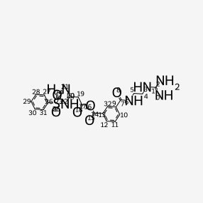 N=C(N)NCCNC(=O)c1cccc(C(=O)OC(=O)C[C@@H](N)NS(=O)(=O)c2ccccc2)c1